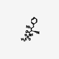 CS(=O)(=O)NC(=O)/C(C#N)=C(\O)Cc1ccccc1